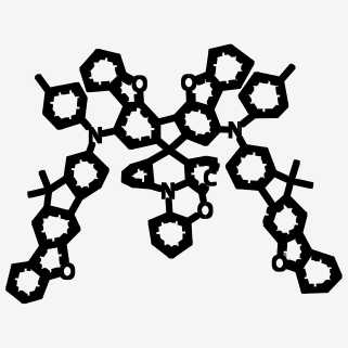 Cc1ccc(N(c2ccc3c(c2)C(C)(C)c2cc4c(cc2-3)oc2ccccc24)c2cc3c(c4oc5ccccc5c24)-c2c(cc(N(c4ccc(C)cc4)c4ccc5c(c4)C(C)(C)c4cc6c(cc4-5)oc4ccccc46)c4c2oc2ccccc24)C32c3ccccc3N3c4ccccc4Oc4cccc2c43)cc1